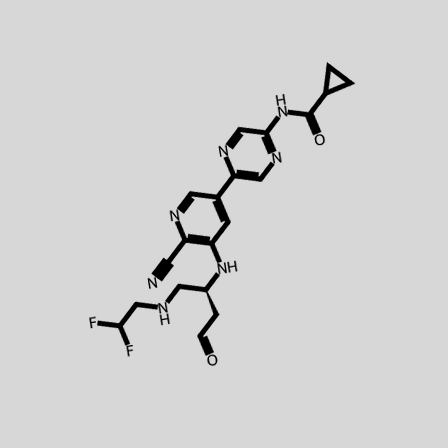 N#Cc1ncc(-c2cnc(NC(=O)C3CC3)cn2)cc1N[C@@H](CC=O)CNCC(F)F